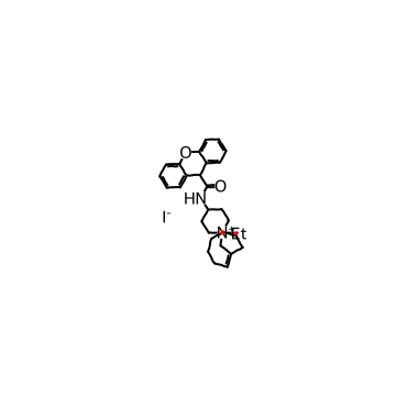 CC[N+]1(C/C2=C\CCCCCC2)CCC(NC(=O)C2c3ccccc3Oc3ccccc32)CC1.[I-]